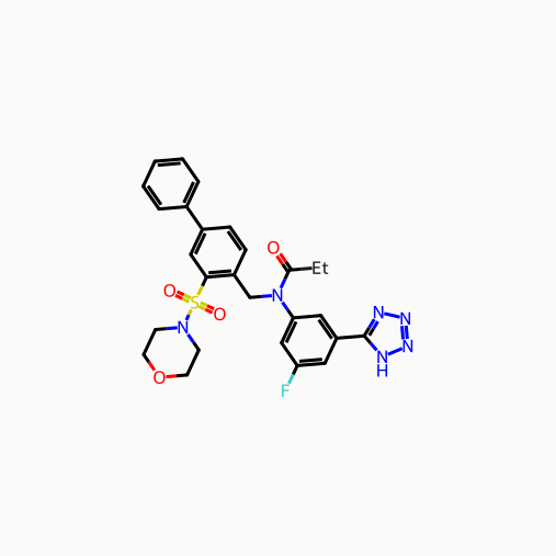 CCC(=O)N(Cc1ccc(-c2ccccc2)cc1S(=O)(=O)N1CCOCC1)c1cc(F)cc(-c2nnn[nH]2)c1